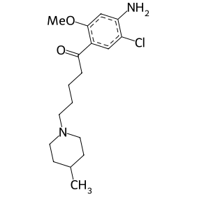 COc1cc(N)c(Cl)cc1C(=O)CCCCN1CCC(C)CC1